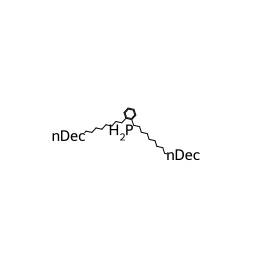 CCCCCCCCCCCCCCCCCCc1ccccc1C(P)CCCCCCCCCCCCCCCCCC